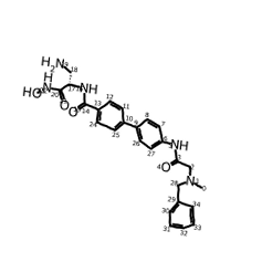 CN(CC(=O)Nc1ccc(-c2ccc(C(=O)N[C@@H](CN)C(=O)NO)cc2)cc1)Cc1ccccc1